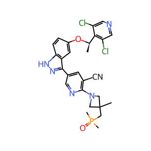 C[C@@H](Oc1ccc2[nH]nc(-c3cnc(N4CC(C)(CP(C)(C)=O)C4)c(C#N)c3)c2c1)c1c(Cl)cncc1Cl